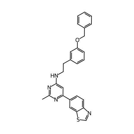 Cc1nc(NCCc2cccc(OCc3ccccc3)c2)cc(-c2ccc3ncsc3c2)n1